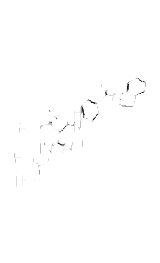 N=C(NCC(O)CO)c1c(O)nsc1Nc1ccc(C(=O)N2CCc3ccccc32)cc1